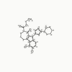 CCOC(=O)C1CCCn2c(c(-c3cnn(C4CCCCO4)c3)c3ccc(Cl)c(Cl)c32)C1=O